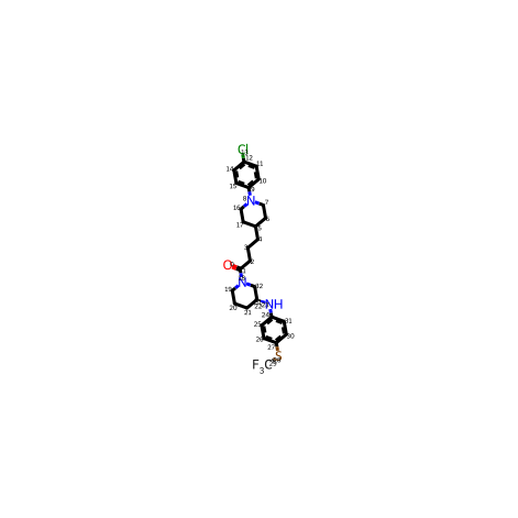 O=C(CCCC1CCN(c2ccc(Cl)cc2)CC1)N1CCC[C@H](Nc2ccc(SC(F)(F)F)cc2)C1